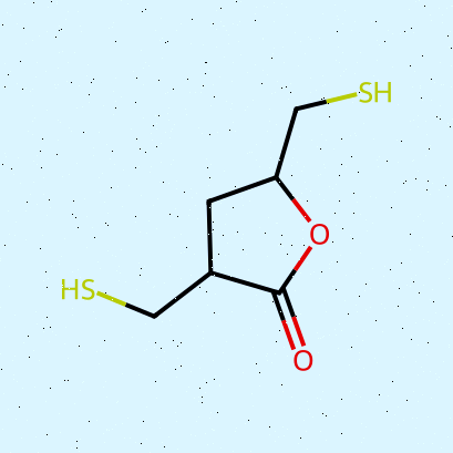 O=C1OC(CS)CC1CS